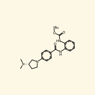 CN(C)[C@H]1CCN(c2ccc(C(=O)Nc3ccccc3NC(=O)OC(C)(C)C)cc2)C1